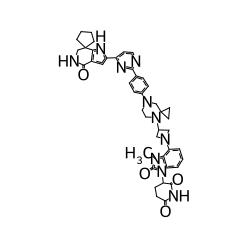 Cn1c(=O)n(C2CCC(=O)NC2=O)c2cccc(N3CC(N4CCN(c5ccc(-c6nccc(-c7cc8c([nH]7)C7(CCCC7)CNC8=O)n6)cc5)CC45CC5)C3)c21